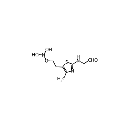 Cc1nc(NCC=O)sc1CCON(O)O